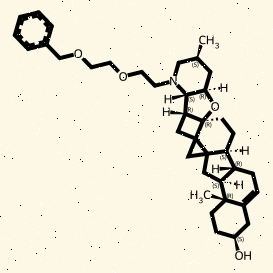 C[C@H]1C[C@H]2O[C@@]34CC[C@H]5[C@@H]6CC=C7C[C@@H](O)CC[C@]7(C)[C@H]6CC56CC63C[C@@H]4[C@@H]2N(CCOCCOCc2ccccc2)C1